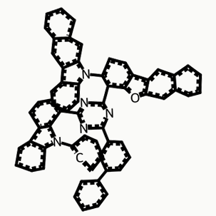 c1ccc(-c2cccc(-c3nc(-c4c(-n5c6ccccc6c6cc7ccccc7cc65)ccc5c4oc4cc6ccccc6cc45)nc(-c4cccc5c6ccccc6n(-c6ccccc6)c45)n3)c2)cc1